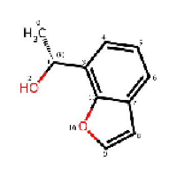 C[C@@H](O)c1cccc2ccoc12